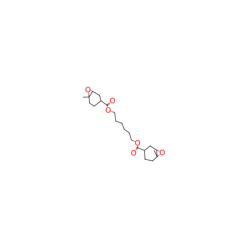 CC12CCC(C(=O)OCCCCCCOC(=O)C3CCC4(C)OC4C3)CC1O2